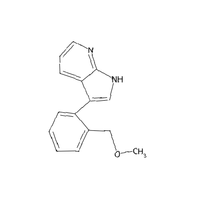 COCc1ccccc1-c1c[nH]c2ncccc12